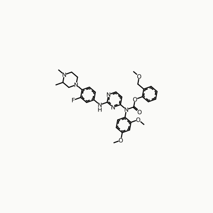 COCc1ccccc1OC(=O)N(c1ccnc(Nc2ccc(N3CCN(C)C(C)C3)c(F)c2)n1)c1ccc(OC)cc1OC